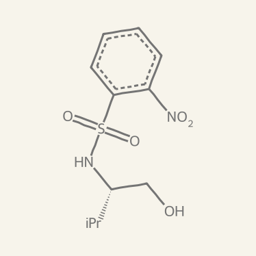 CC(C)[C@@H](CO)NS(=O)(=O)c1ccccc1[N+](=O)[O-]